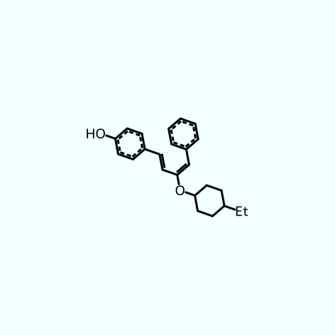 CCC1CCC(OC(C=Cc2ccc(O)cc2)=Cc2ccccc2)CC1